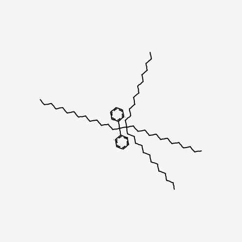 CCCCCCCCCCCCCCC(c1[c]cccc1)(c1[c]cccc1)C(CCCCCCCCCCCCC)(CCCCCCCCCCCCC)CCCCCCCCCCCCC